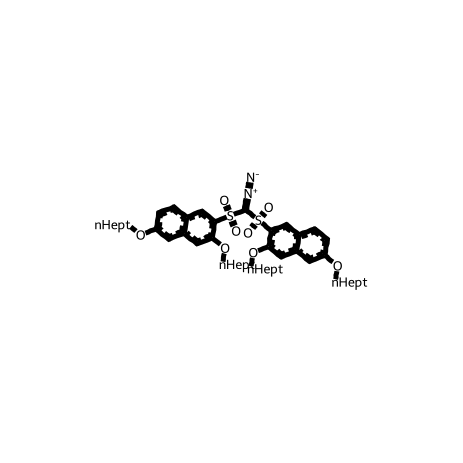 CCCCCCCOc1ccc2cc(S(=O)(=O)C(=[N+]=[N-])S(=O)(=O)c3cc4ccc(OCCCCCCC)cc4cc3OCCCCCCC)c(OCCCCCCC)cc2c1